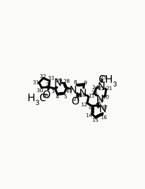 COC1(c2ccc(-n3ccn(CCc4cccnc4N4CCN(C)CC4)c3=O)cn2)CCCC1